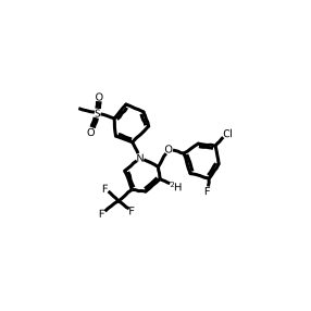 [2H]C1=CC(C(F)(F)F)=CN(c2cccc(S(C)(=O)=O)c2)C1Oc1cc(F)cc(Cl)c1